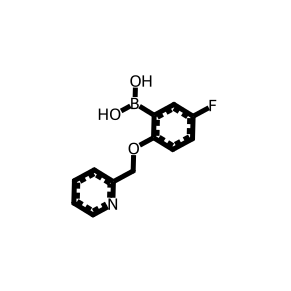 OB(O)c1cc(F)ccc1OCc1ccccn1